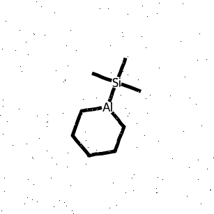 C[Si](C)(C)[Al]1[CH2]CCC[CH2]1